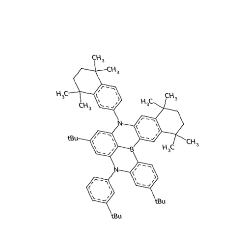 CC(C)(C)c1cccc(N2c3cc(C(C)(C)C)ccc3B3c4cc5c(cc4N(c4ccc6c(c4)C(C)(C)CCC6(C)C)c4cc(C(C)(C)C)cc2c43)C(C)(C)CCC5(C)C)c1